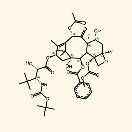 COC(=O)O[C@]12CO[C@H]1C[C@@H](O)[C@]1(C)C(=O)[C@@H](OC(C)=O)C3=C(C)[C@H](OC(=O)[C@@H](O)[C@H](NC(=O)OC(C)(C)C)C(C)(C)C)C[C@](O)([C@H](OC(=O)c4ccccc4)C21)C3(C)C